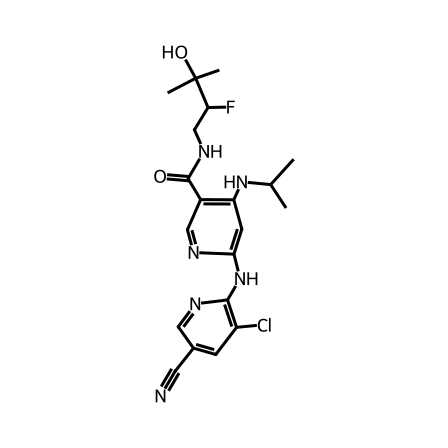 CC(C)Nc1cc(Nc2ncc(C#N)cc2Cl)ncc1C(=O)NCC(F)C(C)(C)O